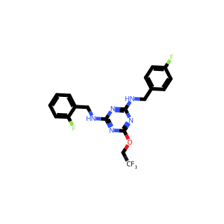 Fc1ccc(CNc2nc(NCc3ccccc3F)nc(OCC(F)(F)F)n2)cc1